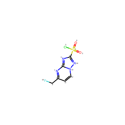 O=S(=O)(Cl)c1nc2nc(CF)ccn2n1